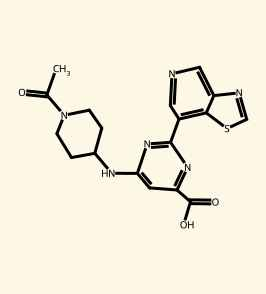 CC(=O)N1CCC(Nc2cc(C(=O)O)nc(-c3cncc4ncsc34)n2)CC1